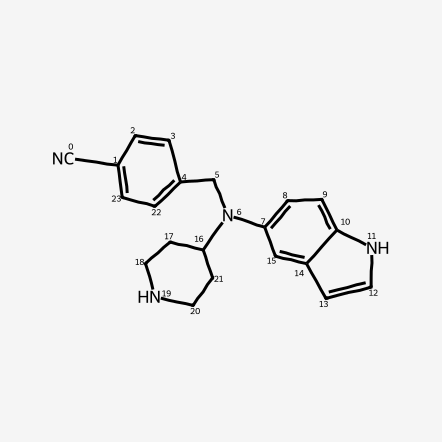 N#Cc1ccc(CN(c2ccc3[nH]ccc3c2)C2CCNCC2)cc1